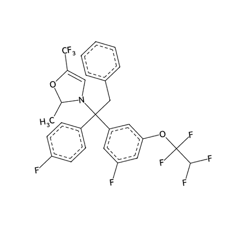 CC1OC(C(F)(F)F)=CN1C(Cc1ccccc1)(c1ccc(F)cc1)c1cc(F)cc(OC(F)(F)C(F)F)c1